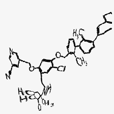 Cc1c(COc2cc(OCc3cncc(C#N)c3)c(CN[C@@](C)(CO)C(=O)O)cc2Cl)cccc1-c1cccc(-c2ccc3c(c2)CCC3)c1C